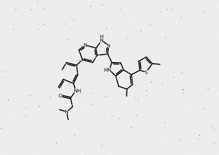 C=C/C(=C\C(=C/C)c1cnc2[nH]nc(-c3cc4c([nH]3)CC(C)C=C4c3ccc(C)s3)c2c1)NC(=O)CN(C)C